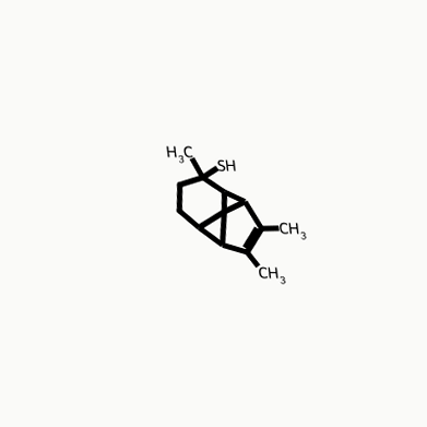 CC1=C(C)C2C3C(C)(S)CCC4C1C423